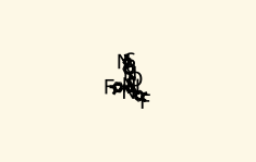 Cc1nc2c(s1)CCN(C(=O)Cn1nc(-c3ccc(F)c(C)c3)nc1-c1ccc(F)c(C)c1)CC2